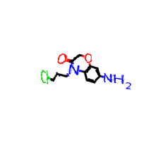 Nc1ccc2c(c1)OCC(=O)N2CCCCl